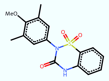 COc1c(C)cc(N2C(=O)Nc3ccccc3S2(=O)=O)cc1C